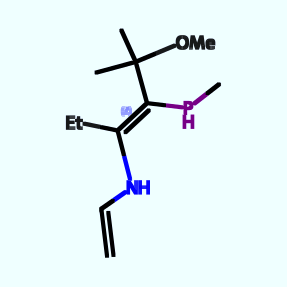 C=CN/C(CC)=C(\PC)C(C)(C)OC